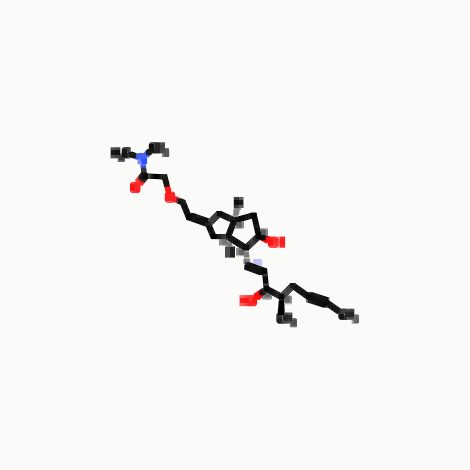 CC#CC[C@@H](C)[C@@H](O)/C=C/[C@@H]1[C@H]2CC(=CCOCC(=O)N(C)C)C[C@H]2C[C@H]1O